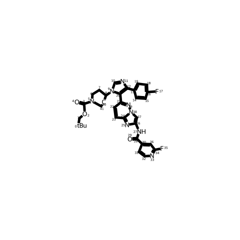 CC(C)(C)COC(=O)N1CCC(n2cnc(-c3ccc(F)cc3)c2-c2ccc3nc(NC(=O)c4ccnc(F)c4)cn3n2)CC1